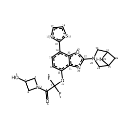 O=C(N1CC(O)C1)C(F)(F)Oc1ccc(-c2nccs2)c2oc(N3CC4CC(C3)N4)nc12